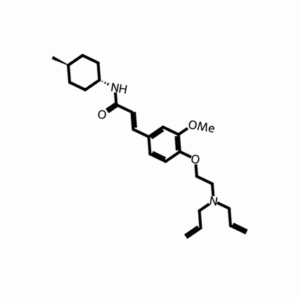 C=CCN(CC=C)CCOc1ccc(C=CC(=O)N[C@H]2CC[C@H](C)CC2)cc1OC